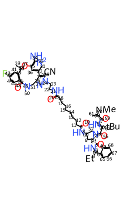 CC[C@@H](NC(=O)[C@@H]1C[C@H](NC(=O)CCCCCCCCC(=O)NCCn2nc3c(c2C#N)-c2cnc(N)c(c2)O[C@H](C)c2cc(F)ccc2C(=O)N(C)C3)CN1C(=O)[C@@H](NC(=O)[C@H](C)NC)C(C)(C)C)c1ccccc1